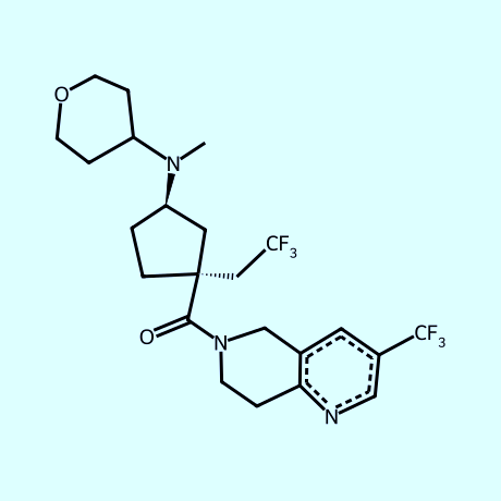 CN(C1CCOCC1)[C@@H]1CC[C@](CC(F)(F)F)(C(=O)N2CCc3ncc(C(F)(F)F)cc3C2)C1